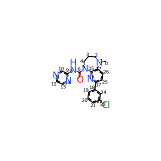 CN1CCCN(C(=O)Nc2cnccn2)c2nc(-c3cccc(Cl)c3)ccc21